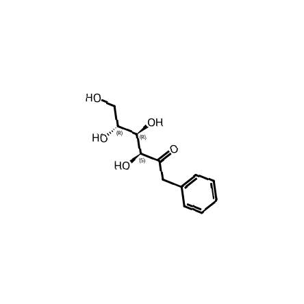 O=C(Cc1ccccc1)[C@@H](O)[C@H](O)[C@H](O)CO